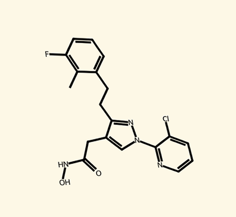 Cc1c(F)cccc1CCc1nn(-c2ncccc2Cl)cc1CC(=O)NO